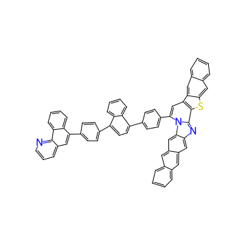 c1ccc2cc3cc4c(cc3cc2c1)nc1c2sc3cc5ccccc5cc3c2cc(-c2ccc(-c3ccc(-c5ccc(-c6cc7cccnc7c7ccccc67)cc5)c5ccccc35)cc2)n41